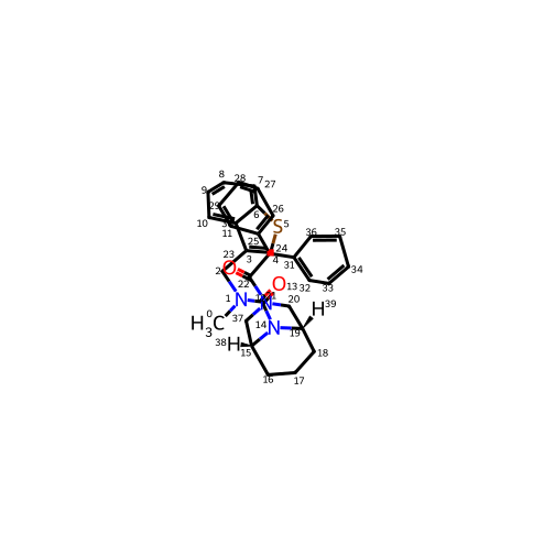 CN(Cc1csc2ccccc12)C(=O)N1[C@@H]2CCC[C@H]1CN(C(=O)C(c1ccccc1)c1ccccc1)C2